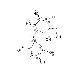 OCC1O[C@H](O[C@@H]2C(CO)O[C@H](O)C(O)[C@H]2O)C(O)[C@@H](O)[C@@H]1O